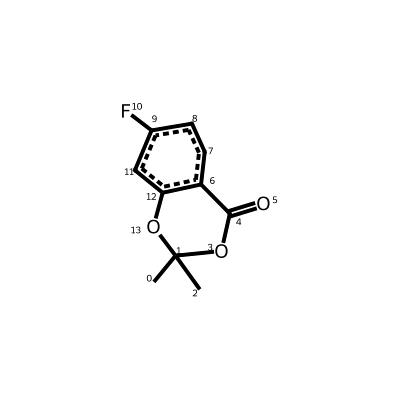 CC1(C)OC(=O)c2ccc(F)cc2O1